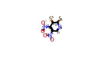 O=[N+]([O-])C1=C([N+](=O)[O-])C(=S)C(=S)N=C1